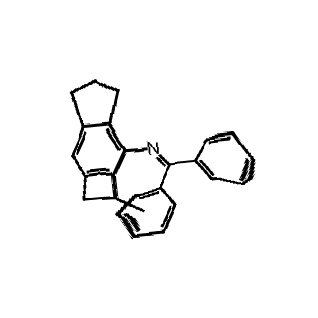 CC1Cc2cc3c(c(N=C(c4ccccc4)c4ccccc4)c21)CCC3